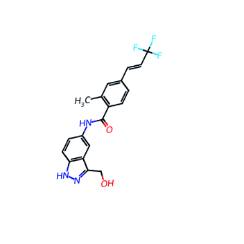 Cc1cc(C=CC(F)(F)F)ccc1C(=O)Nc1ccc2[nH]nc(CO)c2c1